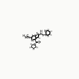 CNc1cc2sc(NCc3ccccn3)cc2c(C(=O)N2CCCC2)n1